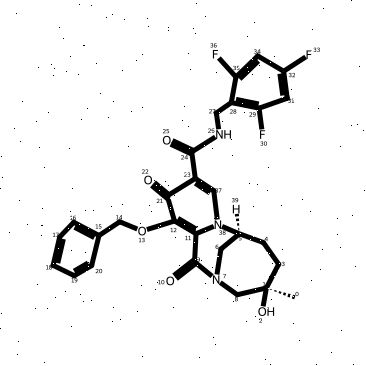 C[C@@]1(O)CC[C@H]2CN(C1)C(=O)c1c(OCc3ccccc3)c(=O)c(C(=O)NCc3c(F)cc(F)cc3F)cn12